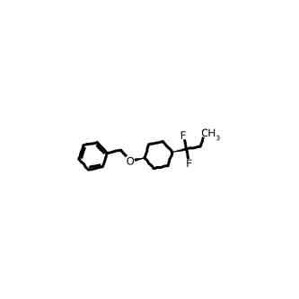 CCC(F)(F)[C@H]1CC[C@@H](OCc2ccccc2)CC1